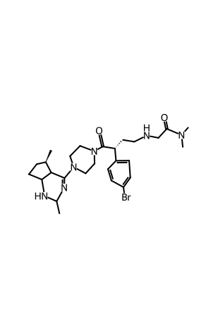 CC1N=C(N2CCN(C(=O)[C@H](CCNCC(=O)N(C)C)c3ccc(Br)cc3)CC2)C2C(CC[C@H]2C)N1